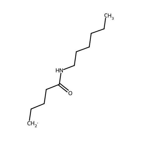 [CH2]CCCC(=O)NCCCCCC